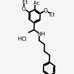 CCOc1cc(C(C)NCCCCc2ccccc2)cc(OCC)c1C(C)=O.Cl